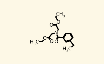 CCOC(=O)CN(CC(=O)OCC)C(=O)c1cccc(CC)c1